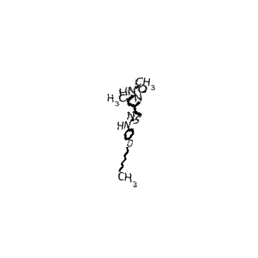 CCCCCCCCOc1ccc(Nc2nc(-c3cnc(NC(C)=O)c(C)c3)cs2)cc1